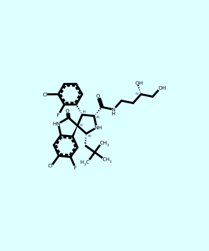 CC(C)(C)C[C@H]1N[C@@H](C(=O)NCC[C@H](O)CO)[C@@H](c2cccc(Cl)c2F)[C@@]12C(=O)Nc1cc(Cl)c(F)cc12